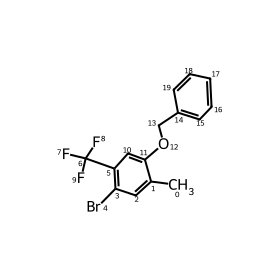 Cc1cc(Br)c(C(F)(F)F)cc1OCc1ccccc1